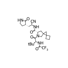 CC(C)(C)[C@H](NC(=O)C(F)(F)F)C(=O)N1CC2(C[C@H]1C(=O)N[C@H](C#N)C[C@@H]1CCNC1=O)CC21CCC1